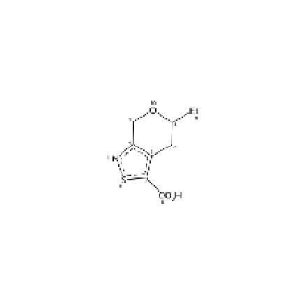 CCC1Cc2c(nsc2C(=O)O)CO1